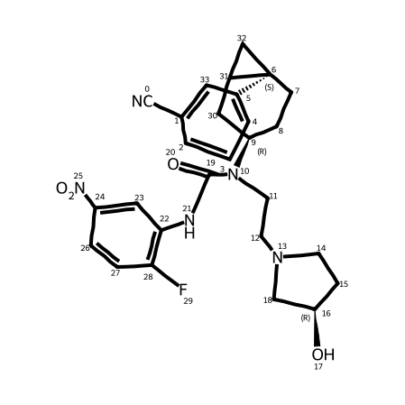 N#Cc1cccc([C@]23CC[C@@H](N(CCN4CC[C@@H](O)C4)C(=O)Nc4cc([N+](=O)[O-])ccc4F)CC2C3)c1